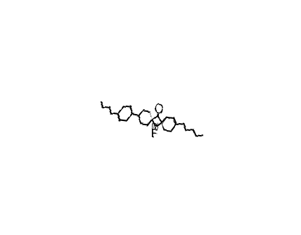 CCCCCC1CC[C@]2(CC1)C(=O)[C@@]1(CCC(C3CCC(CCCC)CC3)CC1)[C@@H]2F